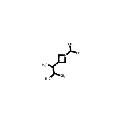 CC(C)C(C)C1CN(C(C)C)C1